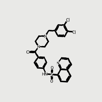 O=C(c1ccc(NS(=O)(=O)c2cccc3cccnc23)cc1)N1CCN(Cc2ccc(Cl)c(Cl)c2)CC1